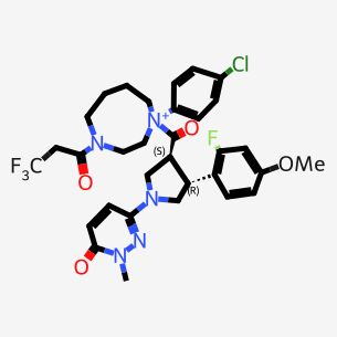 COc1ccc([C@@H]2CN(c3ccc(=O)n(C)n3)C[C@H]2C(=O)[N+]2(c3ccc(Cl)cc3)CCCCN(C(=O)CC(F)(F)F)CC2)c(F)c1